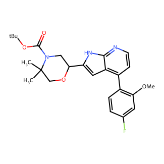 COc1cc(F)ccc1-c1ccnc2[nH]c(C3CN(C(=O)OC(C)(C)C)C(C)(C)CO3)cc12